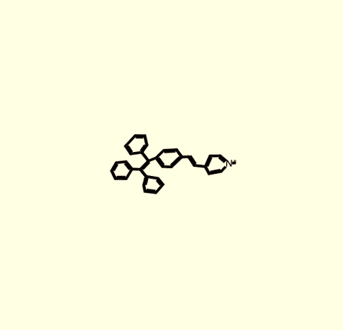 C[n+]1ccc(/C=C/c2ccc(C(=C(c3ccccc3)c3ccccc3)c3ccccc3)cc2)cc1